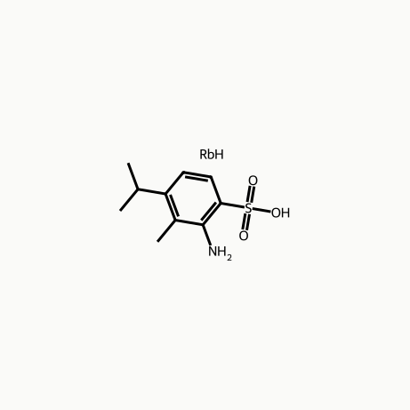 Cc1c(C(C)C)ccc(S(=O)(=O)O)c1N.[RbH]